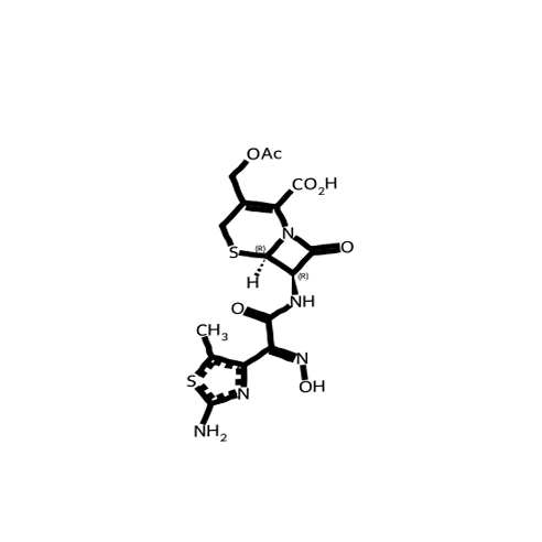 CC(=O)OCC1=C(C(=O)O)N2C(=O)[C@@H](NC(=O)C(=NO)c3nc(N)sc3C)[C@H]2SC1